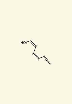 O/C=C\C=C/C=S